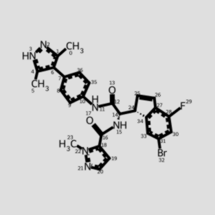 Cc1n[nH]c(C)c1-c1ccc(NC(=O)[C@@H](NC(=O)c2ccnn2C)[C@@H]2C=Cc3c(F)cc(Br)cc32)cc1